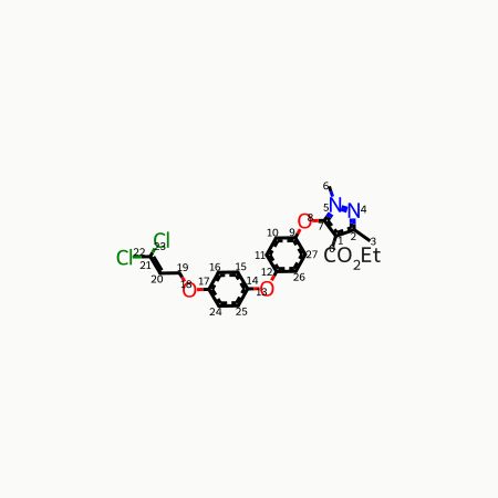 CCOC(=O)c1c(C)nn(C)c1Oc1ccc(Oc2ccc(OCC=C(Cl)Cl)cc2)cc1